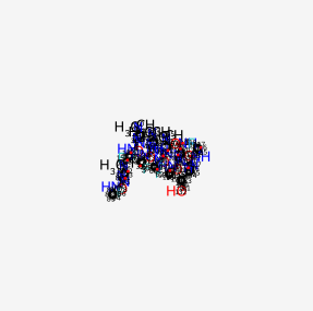 CN(C)c1ccc2nc(C(=O)Nc3cc(F)ccc3F)cn2c1.CN(C)c1ccc2nc(C(=O)Nc3cccc(F)c3)cn2c1.CN(C)c1ccc2nc(C(=O)Nc3cccc(F)c3F)cn2c1.CN(C)c1ccc2nc(C(=O)Nc3ccccc3F)cn2c1.NC(=O)c1ccc2nc(C(=O)Nc3ccccc3)cn2c1.O=C(Nc1cccc(F)c1)c1cn2cc(-c3cccc(CO)c3)ccc2n1